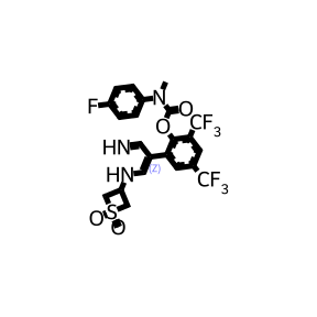 CN(C(=O)Oc1c(/C(C=N)=C/NC2CS(=O)(=O)C2)cc(C(F)(F)F)cc1C(F)(F)F)c1ccc(F)cc1